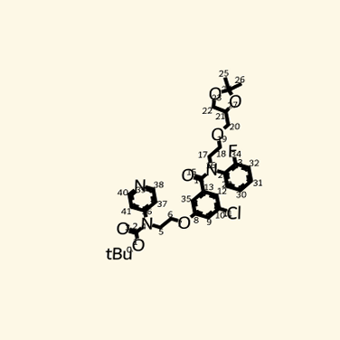 CC(C)(C)OC(=O)N(CCOc1cc(Cl)cc(C(=O)N(CCOCC2COC(C)(C)O2)c2ccccc2F)c1)c1ccncc1